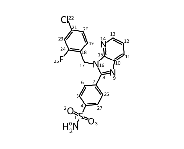 NS(=O)(=O)c1ccc(-c2nc3cccnc3n2Cc2ccc(Cl)cc2F)cc1